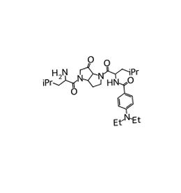 CCN(CC)c1ccc(C(=O)NC(CC(C)C)C(=O)N2CCC3C2C(=O)CN3C(=O)C(N)CC(C)C)cc1